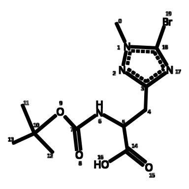 Cn1nc(CC(NC(=O)OC(C)(C)C)C(=O)O)nc1Br